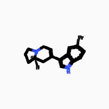 CC(C)c1ccc2[nH]cc(C3=CCN4CCC[C@@H]4C3)c2c1